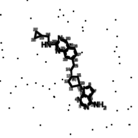 Nc1ncnc2c1ccn2[C@H]1CC[C@@H](CCc2ccc3cnc(NCC4CC4)nc3c2)C1